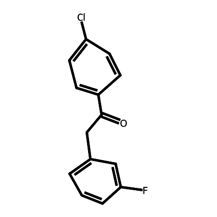 O=C(Cc1cccc(F)c1)c1ccc(Cl)cc1